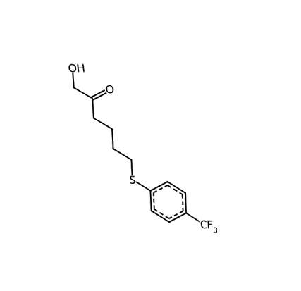 O=C(CO)CCCCSc1ccc(C(F)(F)F)cc1